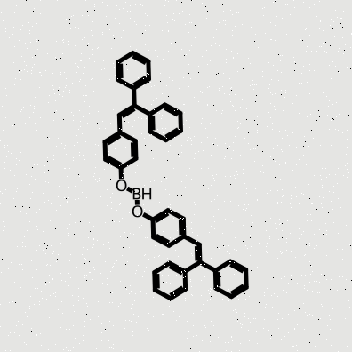 B(Oc1ccc(C=C(c2ccccc2)c2ccccc2)cc1)Oc1ccc(C=C(c2ccccc2)c2ccccc2)cc1